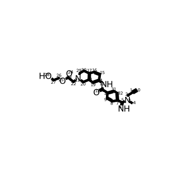 C#CCN(C)C(=N)c1ccc(C(=O)Nc2ccc3c(c2)CN(CC(=O)OCCO)CC3)cc1